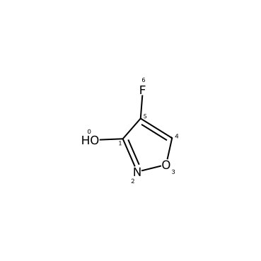 Oc1nocc1F